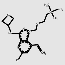 C=Cc1cc(Cl)nc2c(NC3COC3)nn(COCC[Si](C)(C)C)c12